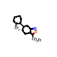 CCOC(=O)c1onc2cc(-c3ccccc3C(F)(F)F)ccc12